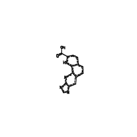 O=C(O)c1ccc2ccc3cc4ncnc4nc3c2[nH]1